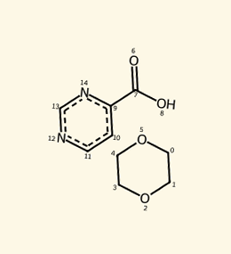 C1COCCO1.O=C(O)c1ccncn1